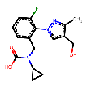 Cc1nn(-c2c(F)cccc2CN(C(=O)O)C2CC2)cc1CO